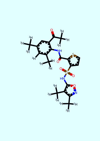 [2H]c1c(C([2H])([2H])[2H])cc(C(=O)C([2H])([2H])[2H])c(NC(=O)c2sccc2S(=O)(=O)Nc2onc(C([2H])([2H])[2H])c2C([2H])([2H])[2H])c1C([2H])([2H])[2H]